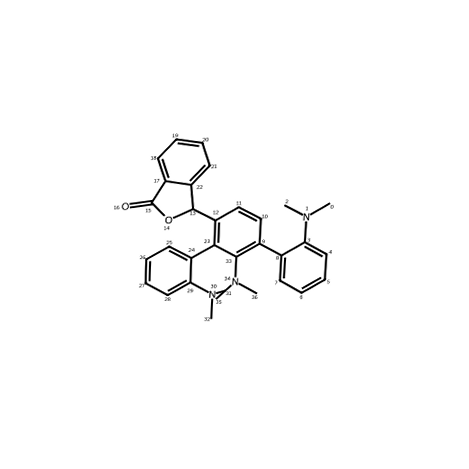 CN(C)c1ccccc1-c1ccc(C2OC(=O)c3ccccc32)c(-c2ccccc2N(C)C)c1N(C)C